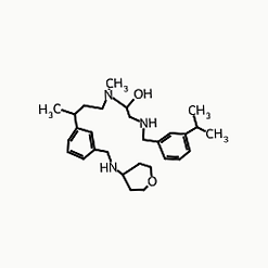 CC(C)c1cccc(CNCC(O)N(C)CCC(C)c2cccc(CNC3CCOCC3)c2)c1